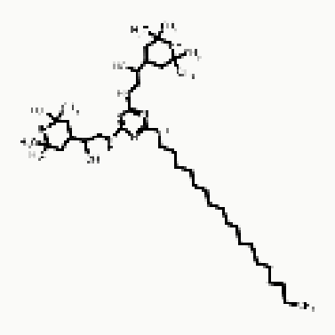 CCCCCCCCCCCCCCCCCCNc1nc(NCC(O)C2CC(C)(C)NC(C)(C)C2)nc(NCC(O)C2CC(C)(C)NC(C)(C)C2)n1